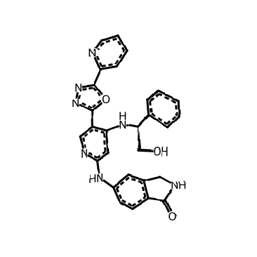 O=C1NCc2cc(Nc3cc(N[C@H](CO)c4ccccc4)c(-c4nnc(-c5ccccn5)o4)cn3)ccc21